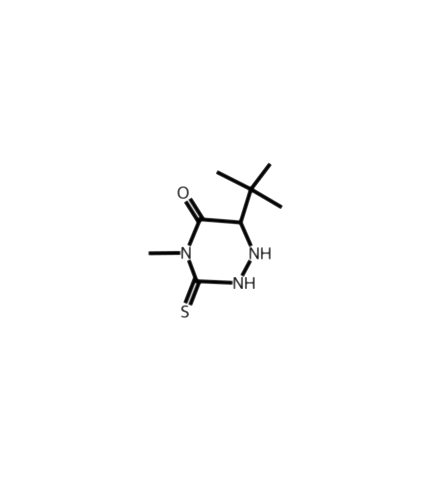 CN1C(=O)C(C(C)(C)C)NNC1=S